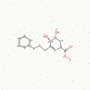 COC(=O)C1C=C(CCCc2ccccc2)[C@@H](O)C(O)C1